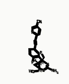 N#Cc1ccc(C#Cc2ccc(F)c([C@@]3(CF)N=C(N)S[C@@]4(CO)C[C@H]43)c2)nc1